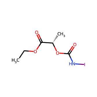 CCOC(=O)[C@H](C)OC(=O)NI